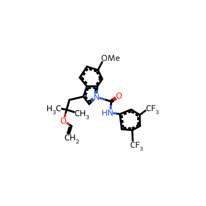 C=COC(C)(C)Cc1cn(C(=O)Nc2cc(C(F)(F)F)cc(C(F)(F)F)c2)c2cc(OC)ccc12